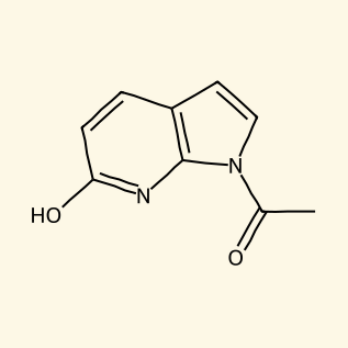 CC(=O)n1ccc2ccc(O)nc21